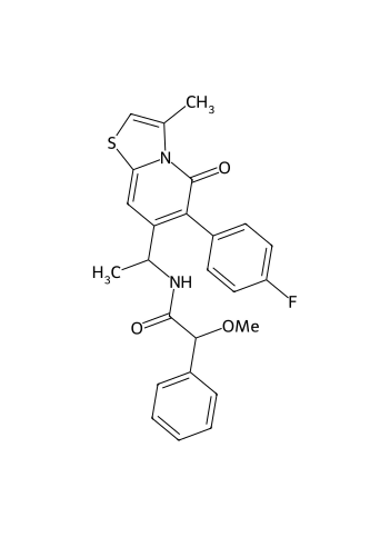 COC(C(=O)NC(C)c1cc2scc(C)n2c(=O)c1-c1ccc(F)cc1)c1ccccc1